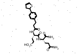 NC(=O)CC[C@H](NC(=O)[C@H](CCC(=O)O)NC(=O)CCc1ccc(C2CC=CS2)cc1)C(N)=O